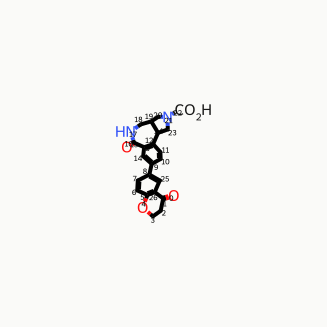 O=C1CCOc2ccc(-c3ccc4c(c3)C(=O)NCC3CN(C(=O)O)CC43)cc21